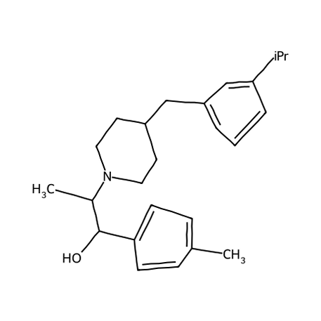 Cc1ccc(C(O)C(C)N2CCC(Cc3cccc(C(C)C)c3)CC2)cc1